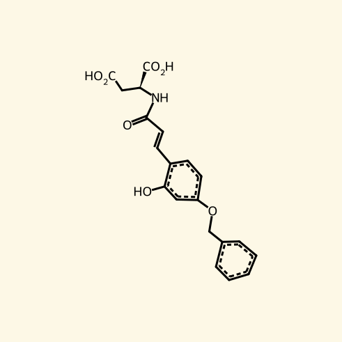 O=C(O)C[C@H](NC(=O)/C=C/c1ccc(OCc2ccccc2)cc1O)C(=O)O